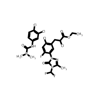 CCOC(=O)C(Cl)Cc1cc(-n2nc(C)n(C(F)F)c2=O)c(F)cc1Cl.CN(C)C(=O)Nc1ccc(Cl)c(Cl)c1